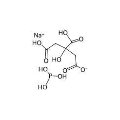 O=C([O-])CC(O)(CC(=O)O)C(=O)O.OP(O)O.[Na+]